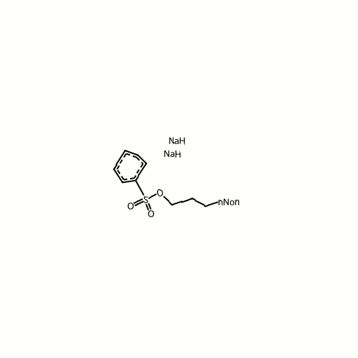 CCCCCCCCCCCCOS(=O)(=O)c1ccccc1.[NaH].[NaH]